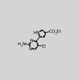 CCOC(=O)c1c[nH]c(-c2nc(N)ncc2Cl)c1